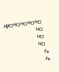 Cl.Cl.Cl.Cl.Cl.Cl.Cl.Cl.[Fe].[Fe].[Fe]